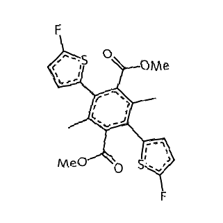 COC(=O)c1c(C)c(-c2ccc(F)s2)c(C(=O)OC)c(C)c1-c1ccc(F)s1